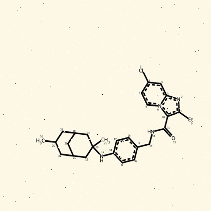 CCc1nc2cc(Cl)ccn2c1C(=O)NCc1ccc(NC2(C)CC3CC(C)CC(C3)C2)cc1